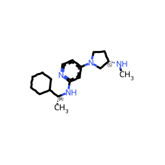 CN[C@H]1CCN(c2ccnc(N[C@H](C)C3CCCCC3)c2)C1